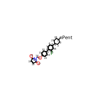 CCCCCC1CCC(c2ccc(-c3ccc(OCN4C(=O)C=CC4=O)cc3)c(F)c2)CC1